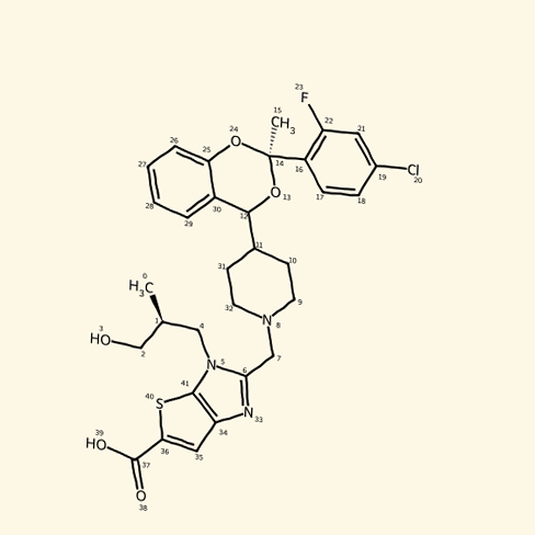 C[C@H](CO)Cn1c(CN2CCC(C3O[C@](C)(c4ccc(Cl)cc4F)Oc4ccccc43)CC2)nc2cc(C(=O)O)sc21